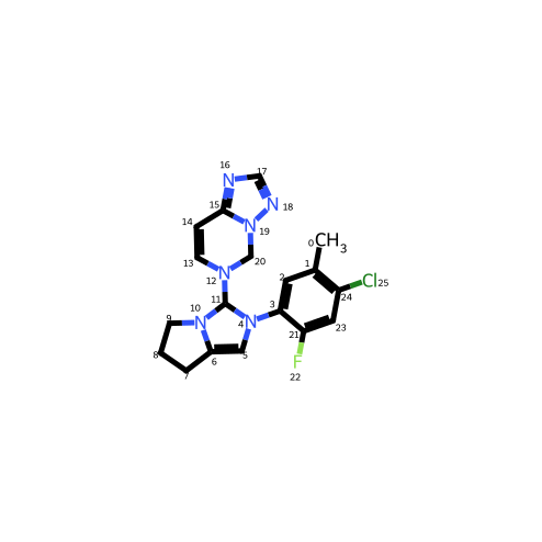 Cc1cc(N2C=C3CCCN3C2N2C=Cc3ncnn3C2)c(F)cc1Cl